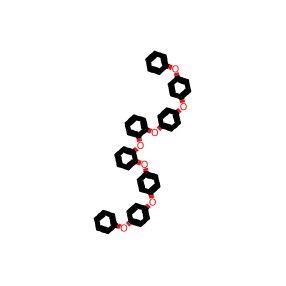 c1ccc(Oc2ccc(Oc3ccc(Oc4ccccc4Oc4ccccc4Oc4ccc(Oc5ccc(Oc6ccccc6)cc5)cc4)cc3)cc2)cc1